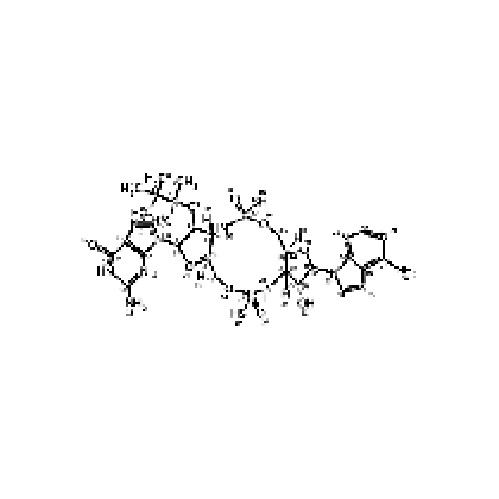 CC(C)(C)[Si](C)(C)OC1[C@H](n2cnc3c(=O)[nH]c(N)nc32)O[C@@H]2COP(=O)(S)N[C@H]3[C@@H](O)[C@H](n4cnc5c(N)ncnc54)O[C@@H]3COP(=O)(S)N[C@@H]12